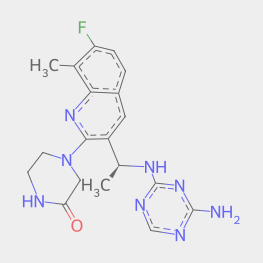 Cc1c(F)ccc2cc([C@H](C)Nc3ncnc(N)n3)c(N3CCNC(=O)C3)nc12